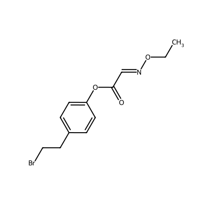 CCON=CC(=O)Oc1ccc(CCBr)cc1